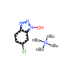 CCCC[N+](CCCC)(CCCC)CCCC.On1nnc2ccc(Cl)cc21